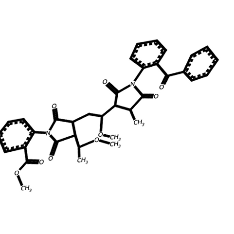 COC(=O)c1ccccc1N1C(=O)C(CC(OC)C2C(=O)N(c3ccccc3C(=O)c3ccccc3)C(=O)C2C)C(C(C)OC)C1=O